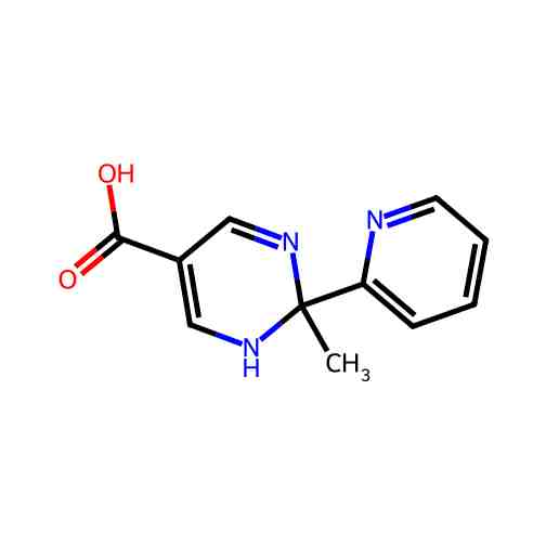 CC1(c2ccccn2)N=CC(C(=O)O)=CN1